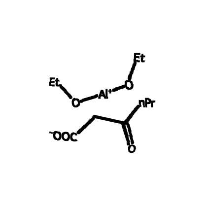 CCCC(=O)CC(=O)[O-].CC[O][Al+][O]CC